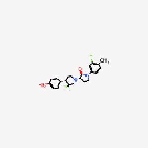 Cc1ccc(N2CC[C@@H](N3CC[C@@H](c4ccc(O)cc4)C(F)(F)C3)C2=O)cc1F